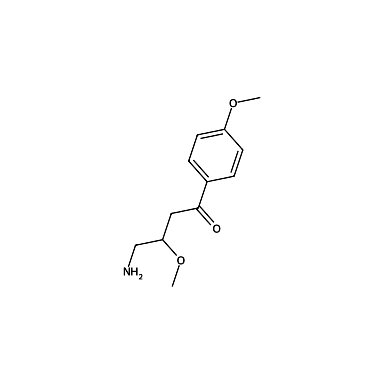 COc1ccc(C(=O)CC(CN)OC)cc1